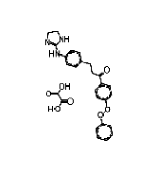 O=C(CCc1ccc(NC2=NCCN2)cc1)c1ccc(OOc2ccccc2)cc1.O=C(O)C(=O)O